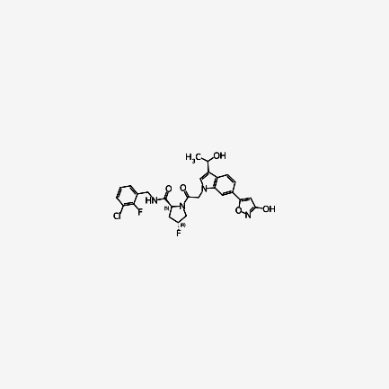 CC(O)c1cn(CC(=O)N2C[C@H](F)C[C@H]2C(=O)NCc2cccc(Cl)c2F)c2cc(-c3cc(O)no3)ccc12